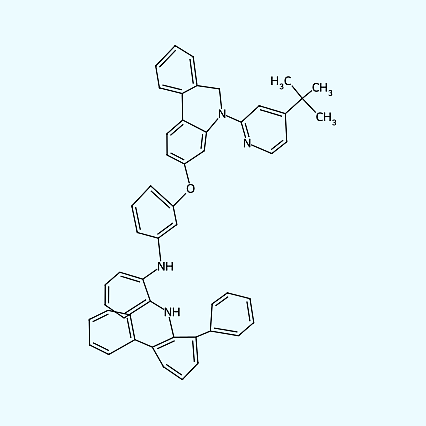 CC(C)(C)c1ccnc(N2Cc3ccccc3-c3ccc(Oc4cccc(Nc5ccccc5Nc5c(-c6ccccc6)cccc5-c5ccccc5)c4)cc32)c1